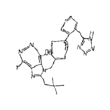 CC(C)(C)Cc1nc2c(F)nnc(O)c2n1Cc1ccc(-c2ccccc2-c2nnn[nH]2)cc1